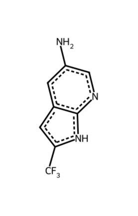 Nc1cnc2[nH]c(C(F)(F)F)cc2c1